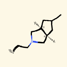 CC1C[C@@H]2CN(CCC(C)(C)C)C[C@@H]2C1